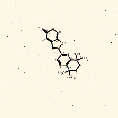 CC1(C)CCC(C)(C)c2cc(-c3cc4c(o3)=CCC(=O)C=4)ccc21